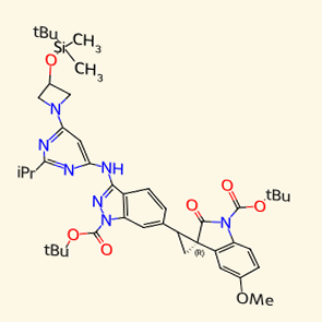 COc1ccc2c(c1)[C@]1(CC1c1ccc3c(Nc4cc(N5CC(O[Si](C)(C)C(C)(C)C)C5)nc(C(C)C)n4)nn(C(=O)OC(C)(C)C)c3c1)C(=O)N2C(=O)OC(C)(C)C